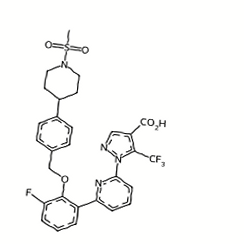 CS(=O)(=O)N1CCC(c2ccc(COc3c(F)cccc3-c3cccc(-n4ncc(C(=O)O)c4C(F)(F)F)n3)cc2)CC1